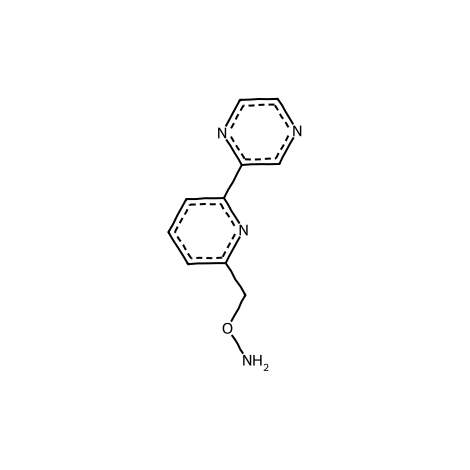 NOCc1cccc(-c2cnccn2)n1